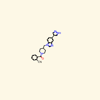 N#Cc1ccccc1C(=O)N1CCC(Cn2cnc3cc(-c4cn[nH]c4)ccc32)CC1